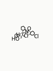 CCN(C(=O)c1ccc(Cl)cc1Cl)c1ccccc1CCCC(=O)O